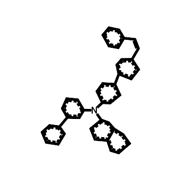 C(=C/c1ccc(-c2ccc(N(c3cccc(-c4ccccc4)c3)c3ccc4ccccc4c3)cc2)cc1)/c1ccccc1